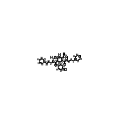 CC1=C(C(=O)NCCCN2CCOCC2)C(c2cccc(Cl)c2)C(C(=O)OCC=Cc2ccccc2)=C(C)N1